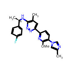 COc1nc(-c2cc(C)c(N[C@H](C)c3ccc(F)cc3)nn2)ccc1-n1cnc(C)c1